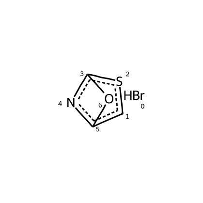 Br.c1sc2nc1O2